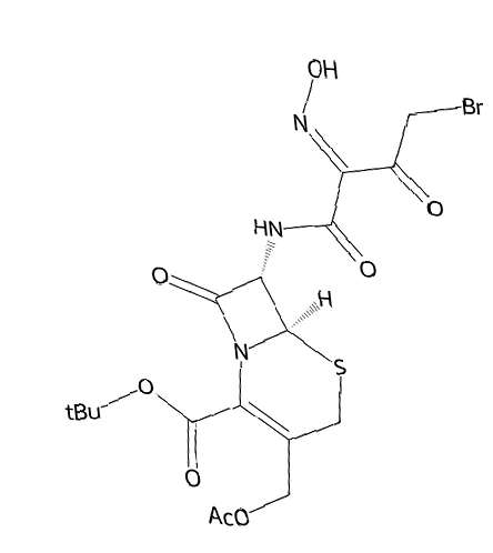 CC(=O)OCC1=C(C(=O)OC(C)(C)C)N2C(=O)[C@H](NC(=O)C(=NO)C(=O)CBr)[C@H]2SC1